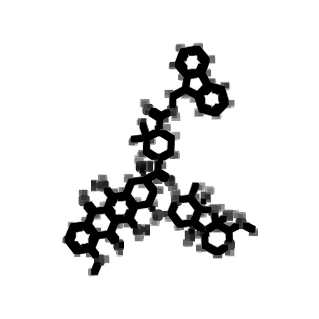 COc1cccc2c1C(=O)c1c(O)c3c(c(O)c1C2=O)C[C@@](O)(C(=O)N1CCN(C(=O)OCC2c4ccccc4-c4ccccc42)C(C)(C)C1)C[C@@H]3O[C@H]1C[C@H]2[C@H](O[C@@H]3[C@@H](OC)OCCN32)[C@H](C)O1